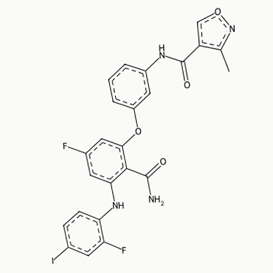 Cc1nocc1C(=O)Nc1cccc(Oc2cc(F)cc(Nc3ccc(I)cc3F)c2C(N)=O)c1